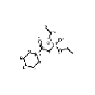 CCOP(=O)(CC(=O)N1CCCCC1)OCC